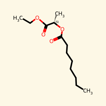 CCCCCCCC(=O)O[C@@H](C)C(=O)OCC